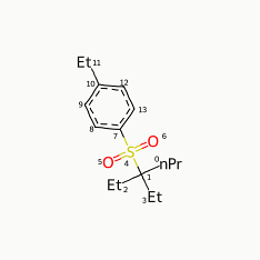 CCCC(CC)(CC)S(=O)(=O)c1ccc(CC)cc1